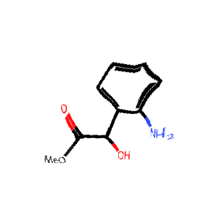 COC(=O)C(O)c1ccccc1N